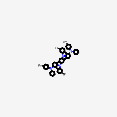 CC(C)c1ccc(N(c2ccccc2)c2ccc3c4cc5c(cc4n4c6cc(C(C)C)ccc6c2c34)c2ccc(N(c3ccccc3)c3ccc(C(C)C)cc3)c3c4ccc(C(C)C)cc4n5c23)cc1